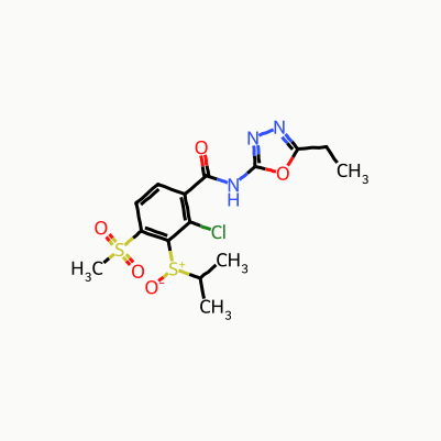 CCc1nnc(NC(=O)c2ccc(S(C)(=O)=O)c([S+]([O-])C(C)C)c2Cl)o1